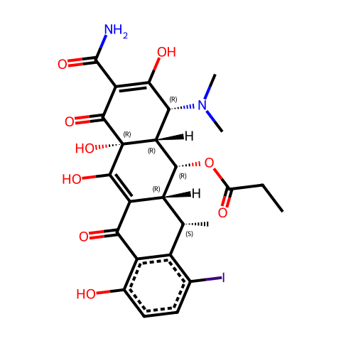 CCC(=O)O[C@@H]1[C@H]2C(=C(O)[C@@]3(O)C(=O)C(C(N)=O)=C(O)[C@H](N(C)C)[C@H]13)C(=O)c1c(O)ccc(I)c1[C@H]2C